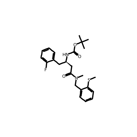 CSc1ccccc1CN(C)C(=O)C[C@@H](Cc1ccccc1F)NC(=O)OC(C)(C)C